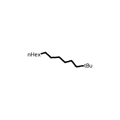 CCCCCCCCCCC[CH]C(C)(C)C